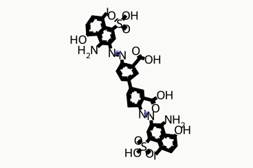 Nc1c(/N=N/c2ccc(-c3ccc(/N=N/c4cc(S(=O)(=O)O)c5c(I)ccc(O)c5c4N)c(C(=O)O)c3)cc2C(=O)O)cc(S(=O)(=O)O)c2c(I)ccc(O)c12